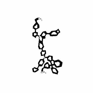 C=Cc1ccc(-c2cccc(-n3c4ccc(-c5ccc(N(c6ccc(-c7ccccc7)cc6)c6ccc7c(c6)C(c6ccccc6)(c6ccc(C=C)cc6)c6ccccc6-7)cc5)cc4c4cc(-c5ccc6c(c5)CC6)ccc43)c2)cc1